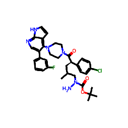 CC(C[C@@H](C(=O)N1CCN(c2c(-c3cccc(F)c3)cnc3[nH]ccc23)CC1)c1ccc(Cl)cc1)CN(N)C(=O)OC(C)(C)C